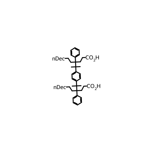 CCCCCCCCCCCCC(CCC(=O)O)(c1ccccc1)C(C)(C)c1ccc(C(C)(C)C(CCCCCCCCCCCC)(CCC(=O)O)c2ccccc2)cc1